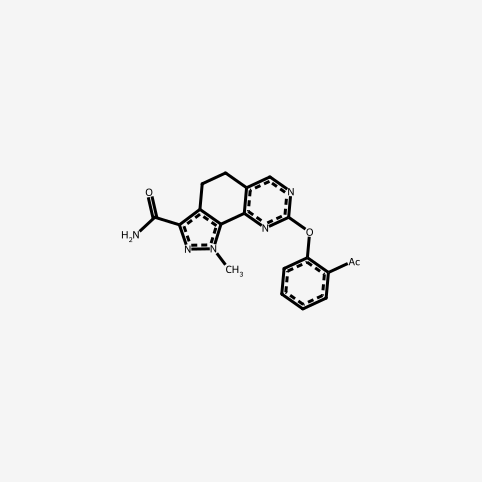 CC(=O)c1ccccc1Oc1ncc2c(n1)-c1c(c(C(N)=O)nn1C)CC2